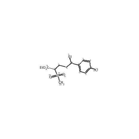 CCOC(=O)C(CCC(CC)c1ccc(Cl)cc1)S(C)(=O)=O